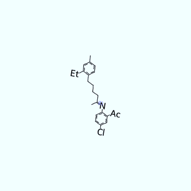 CCc1cc(C)ccc1CCCC/C(C)=N/c1ccc(Cl)cc1C(C)=O